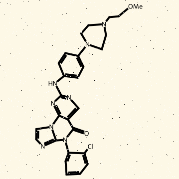 COCCN1CCN(c2ccc(Nc3ncc4c(=O)n(-c5ccccc5Cl)c5nccn5c4n3)cc2)CC1